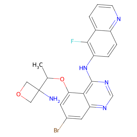 CC(Oc1cc(Br)cc2ncnc(Nc3ccc4ncccc4c3F)c12)C1(N)COC1